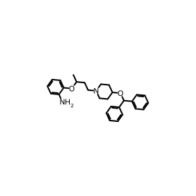 CC(CCN1CCC(OC(c2ccccc2)c2ccccc2)CC1)Oc1ccccc1N